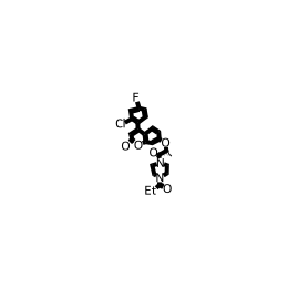 CCC(=O)N1CCN(C(=O)[C@@H](C)Oc2ccc3c(-c4ccc(F)cc4Cl)cc(=O)oc3c2)CC1